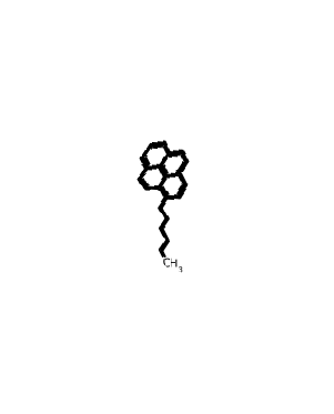 CCCCCCc1ccc2ccc3cccc4ccc1c2c34